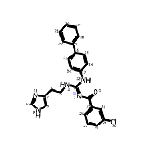 O=C(/N=C(/NCCc1c[nH]cn1)Nc1ccc(-c2ccccc2)cc1)c1cccc(Cl)c1